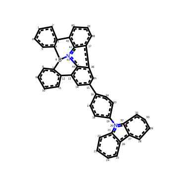 c1ccc2c(c1)B1c3ccccc3-c3cc(-c4ccc(-n5c6ccccc6c6ccccc65)cc4)cc4c5cccc-2c5n1c34